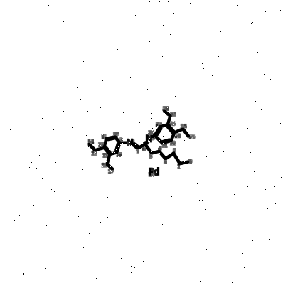 CCCCCCC(C=Nc1ccc(CC)c(CC)c1)=Nc1ccc(CC)c(CC)c1.[Pd]